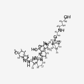 COc1ccc2sc(Nc3nnc4c(c3C)CCCN4c3ccc(-c4cnn(CC56CC7(C)CC(C)(C5)CC(OCCNCCCCO)(C7)C6)c4C)c(C(=O)O)n3)nc2c1